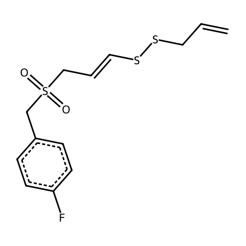 C=CCSSC=CCS(=O)(=O)Cc1ccc(F)cc1